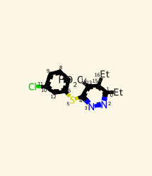 CCc1nnc(Sc2cccc(Cl)c2)c(C(=O)O)c1CC